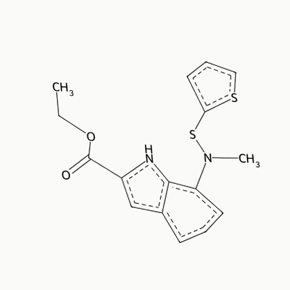 CCOC(=O)c1cc2cccc(N(C)Sc3cccs3)c2[nH]1